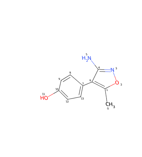 Cc1onc(N)c1-c1ccc(O)cc1